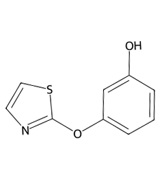 Oc1cccc(Oc2nccs2)c1